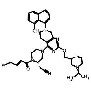 Cc1cccc2cccc(N3CCc4c(nc(OCC5CN(C(C)C)CCO5)nc4N4CCN(C(=O)/C=C/CF)[C@@H](CC#N)C4)C3)c12